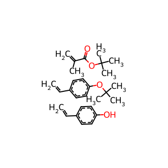 C=C(C)C(=O)OC(C)(C)C.C=Cc1ccc(O)cc1.C=Cc1ccc(OC(C)(C)C)cc1